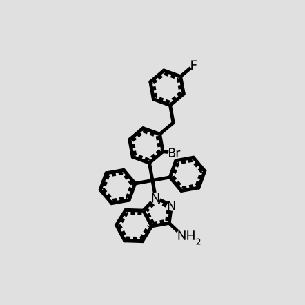 Nc1nn(C(c2ccccc2)(c2ccccc2)c2cccc(Cc3cccc(F)c3)c2Br)c2ccccc12